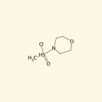 C[SH](=O)(Cl)N1CCOCC1